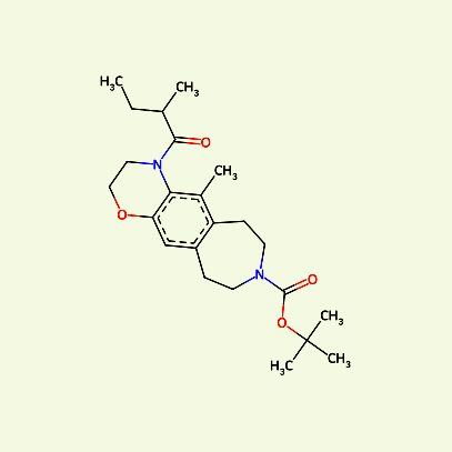 CCC(C)C(=O)N1CCOc2cc3c(c(C)c21)CCN(C(=O)OC(C)(C)C)CC3